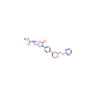 CC(=O)NCC1CN(c2ccc(C3=CCOC(CSc4ncccn4)C3)cc2)C(=O)O1